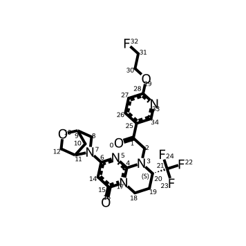 O=C(CN1c2nc(N3CC4CC3CO4)cc(=O)n2CC[C@H]1C(F)(F)F)c1ccc(OCCF)nc1